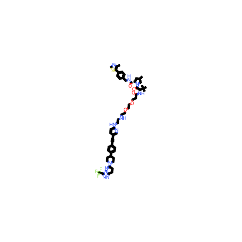 Cc1ncsc1-c1ccc(CNC(=O)[C@@H]2CC(C)CN2C(=O)[C@@H](NC(=O)CCOCCOCCNCCNc2ccc(C#Cc3ccc(C4CCN(C5=Nn6c(nnc6C(F)(F)F)CC5)CC4)cc3)cn2)C(C)(C)C)cc1